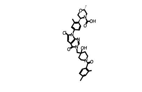 Cc1ccc(C(=O)N2CCC(O)(Cn3cnc4c(cc(Cl)n4-c4ccc([C@H]5CO[C@H](C)CN5C(=O)O)c(C)c4)c3=O)CC2)c(C)c1